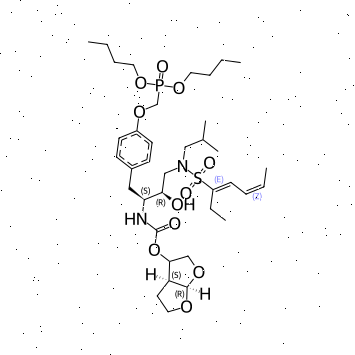 C/C=C\C=C(/CC)S(=O)(=O)N(CC(C)C)C[C@@H](O)[C@H](Cc1ccc(OCP(=O)(OCCCC)OCCCC)cc1)NC(=O)OC1CO[C@H]2OCC[C@@H]12